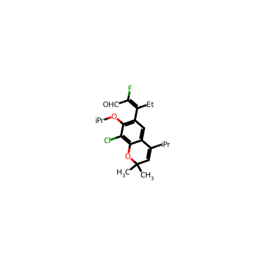 CC/C(=C(\F)C=O)c1cc2c(c(Cl)c1OC(C)C)OC(C)(C)C=C2C(C)C